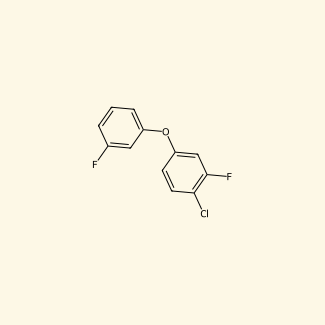 Fc1cccc(Oc2ccc(Cl)c(F)c2)c1